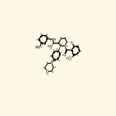 Cc1cccc(F)c1C(=O)N1CCCC([C@@H](O)Nc2cccc(C(C)(C)C)c2)[C@@H]1c1ccc(N2CCOCC2)cc1